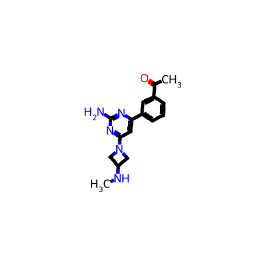 CNC1CN(c2cc(-c3cccc(C(C)=O)c3)nc(N)n2)C1